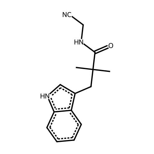 CC(C)(Cc1c[nH]c2ccccc12)C(=O)NCC#N